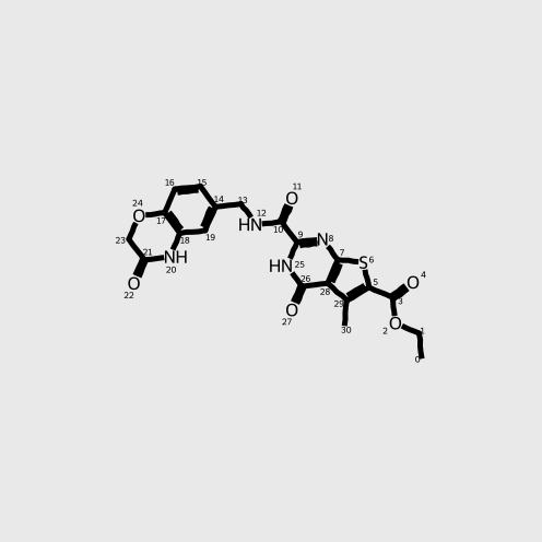 CCOC(=O)c1sc2nc(C(=O)NCc3ccc4c(c3)NC(=O)CO4)[nH]c(=O)c2c1C